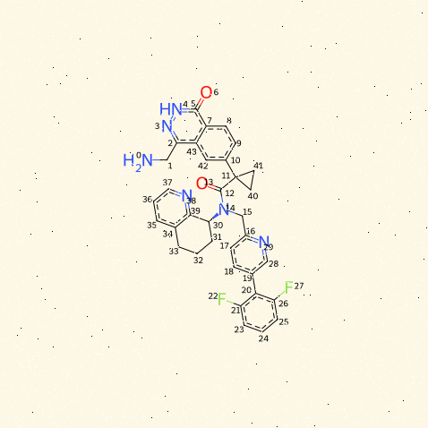 NCc1n[nH]c(=O)c2ccc(C3(C(=O)N(Cc4ccc(-c5c(F)cccc5F)cn4)[C@H]4CCCc5cccnc54)CC3)cc12